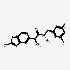 Cc1nc2cc(N(C)C(=O)[C@@H](N)Cc3cc(F)cc(F)c3)ccc2s1